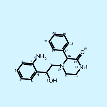 Nc1ccccc1C(O)CN1CCNC(=O)C1c1ccccc1